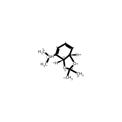 C[SiH](C)C1=CC=C[C@@H]2OC(C)(C)O[C@H]12